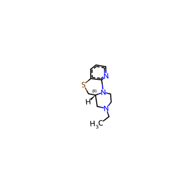 CCN1CCN2c3ncccc3SC[C@H]2C1